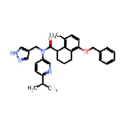 Cc1ccc(OCc2ccccc2)c2c1C(C(=O)N(Cc1cn[nH]c1)c1ccc(C(C)C)nc1)CCC2